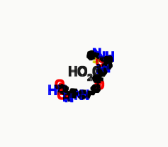 Cc1c(OC2CCC(CCCN3CCN(c4ccc5c(C6CCC(=O)NC6=O)nn(C)c5c4)CC3)CC2)cccc1-c1ccc(N2CCc3cccc(C(=O)Nc4nc5ccccc5s4)c3C2)nc1C(=O)O